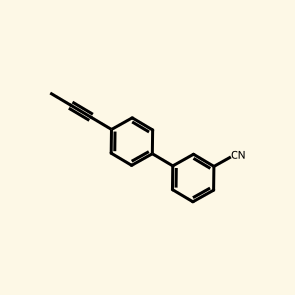 CC#Cc1ccc(-c2cccc(C#N)c2)cc1